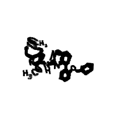 COc1nc2c(cc1Nc1ncc3cccc(-c4ccccc4OCc4ccccc4)c3n1)CN(C)CC2